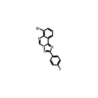 Fc1ccc(-c2nc3c4cccc(Br)c4ncn3n2)cc1